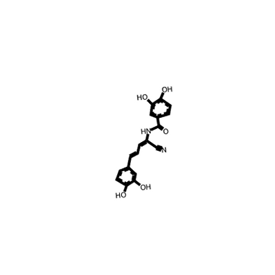 N#C/C(=C\C=C\c1ccc(O)c(O)c1)NC(=O)c1ccc(O)c(O)c1